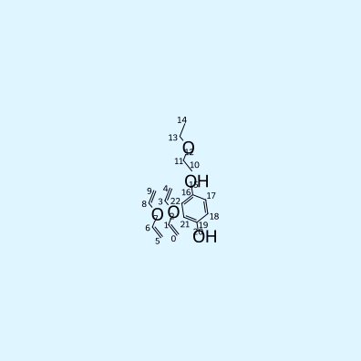 C=COC=C.C=COC=C.CCOCC.Oc1ccc(O)cc1